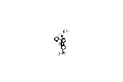 CCOC(=O)c1ccc2c([nH]c3cc(C(=O)OC)ccc32)c1-c1ccccc1